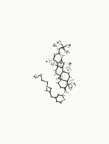 COCCN1CC(CN2CCO[C@@H](O[C@H]3CCC45C[C@]46CC[C@]4(C)[C@@H]7C(OC([C@H](O)C(C)(C)O)C[C@H]7C)[C@H](O)[C@@]4(C)C6CC[C@H]5C3(C)C)C2)C1